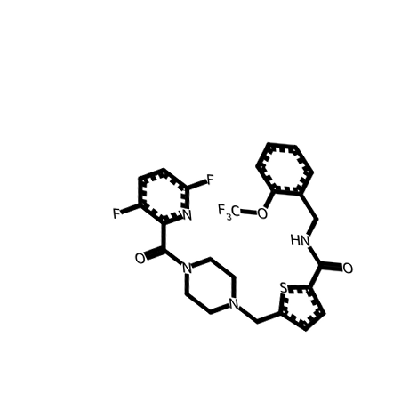 O=C(NCc1ccccc1OC(F)(F)F)c1ccc(CN2CCN(C(=O)c3nc(F)ccc3F)CC2)s1